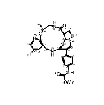 COC(=O)Nc1ccc(C2=CN3N=CC4C(=O)NC[C@H](C)Oc5ncc(F)cc5CNC2=NC43)cc1